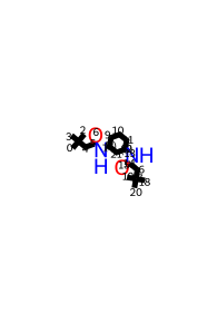 CC(C)(C)CC(=O)N[C@@H]1CCC[C@H](NC(=O)CC(C)(C)C)C1